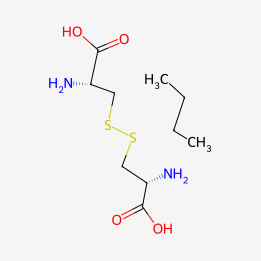 CCCC.N[C@@H](CSSC[C@H](N)C(=O)O)C(=O)O